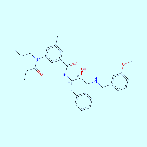 CCCN(C(=O)CC)c1cc(C)cc(C(=O)N[C@@H](Cc2ccccc2)[C@@H](O)CNCc2cccc(OC)c2)c1